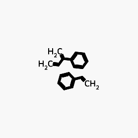 C=CC(=C)c1ccccc1.C=Cc1ccccc1